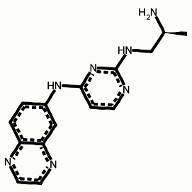 C[C@H](N)CNc1nccc(Nc2ccc3nccnc3c2)n1